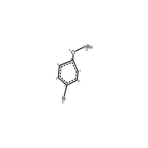 [B]c1ccc(OCCCC)cc1